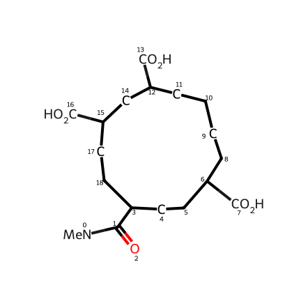 CNC(=O)C1CCC(C(=O)O)CCCCC(C(=O)O)CC(C(=O)O)CC1